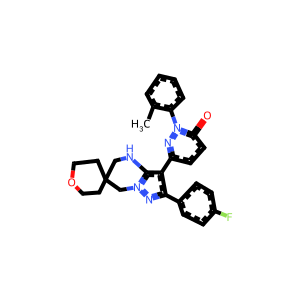 Cc1ccccc1-n1nc(-c2c(-c3ccc(F)cc3)nn3c2NCC2(CCOCC2)C3)ccc1=O